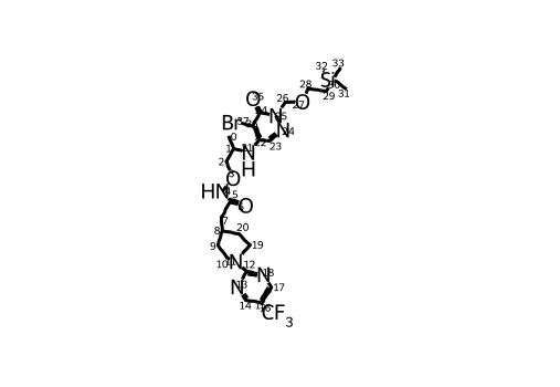 CC(CONC(=O)CC1CCN(c2ncc(C(F)(F)F)cn2)CC1)Nc1cnn(COCC[Si](C)(C)C)c(=O)c1Br